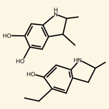 CC1Nc2cc(O)c(O)cc2C1C.CCc1cc2c(cc1O)NC(C)C2